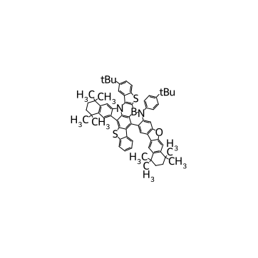 CC(C)(C)c1ccc(N2B3c4sc5ccc(C(C)(C)C)cc5c4-n4c5cc6c(cc5c5c7sc8ccccc8c7c(c3c54)-c3cc4c(cc32)oc2cc3c(cc24)C(C)(C)CCC3(C)C)C(C)(C)CCC6(C)C)cc1